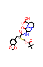 CC(C)(C)C(=O)OCS[C@@H](Cc1ccc2c(c1)OCO2)C(=O)NC1CN2CCCC(C(=O)O)N2C1=O